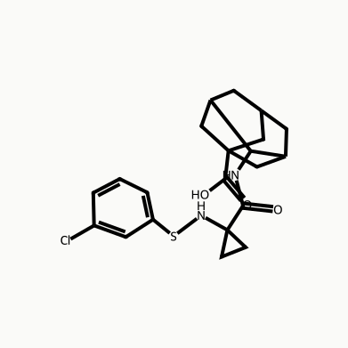 O=C(O)C12CC3CC(C1)C(NC(=O)C1(NSc4cccc(Cl)c4)CC1)C(C3)C2